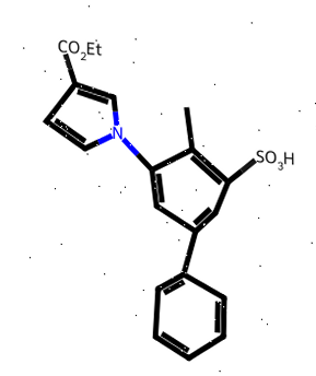 CCOC(=O)c1ccn(-c2cc(-c3ccccc3)cc(S(=O)(=O)O)c2C)c1